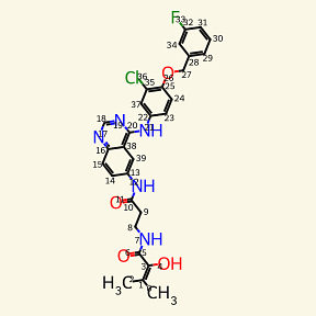 CC(C)=C(O)C(=O)NCCC(=O)Nc1ccc2ncnc(Nc3ccc(OCc4cccc(F)c4)c(Cl)c3)c2c1